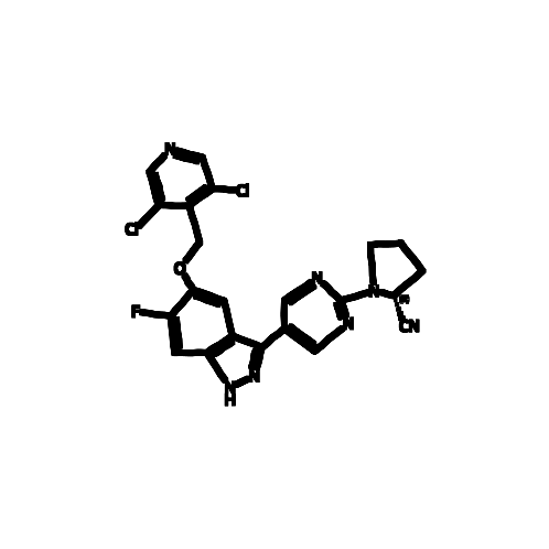 N#C[C@H]1CCCN1c1ncc(-c2n[nH]c3cc(F)c(OCc4c(Cl)cncc4Cl)cc23)cn1